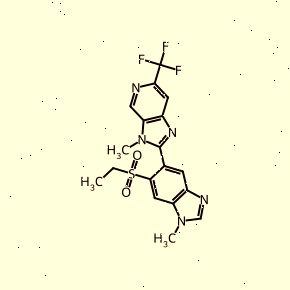 CCS(=O)(=O)c1cc2c(cc1-c1nc3cc(C(F)(F)F)ncc3n1C)ncn2C